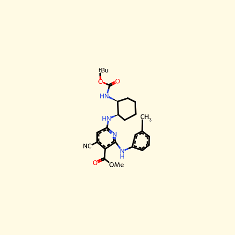 COC(=O)c1c(C#N)cc(N[C@@H]2CCCC[C@@H]2NC(=O)OC(C)(C)C)nc1Nc1cccc(C)c1